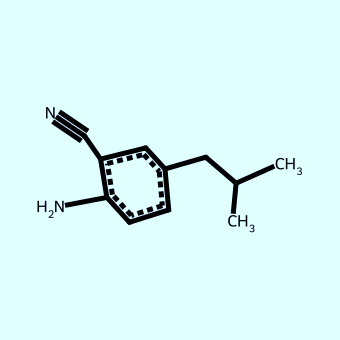 CC(C)Cc1ccc(N)c(C#N)c1